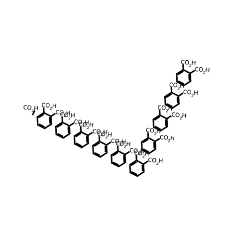 CC(=O)O.O=C(O)c1ccccc1C(=O)O.O=C(O)c1ccccc1C(=O)O.O=C(O)c1ccccc1C(=O)O.O=C(O)c1ccccc1C(=O)O.O=C(O)c1ccccc1C(=O)O.O=C(O)c1ccccc1C(=O)O.O=C(O)c1ccccc1C(=O)O.O=C(O)c1ccccc1C(=O)O.O=C(O)c1ccccc1C(=O)O.O=C(O)c1ccccc1C(=O)O